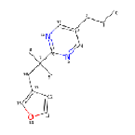 CCCc1cnc(C(C)(C)Cc2ccoc2)nc1